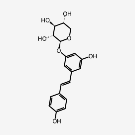 Oc1ccc(/C=C/c2cc(O)cc(O[C@@H]3OC[C@@H](O)[C@H](O)[C@H]3O)c2)cc1